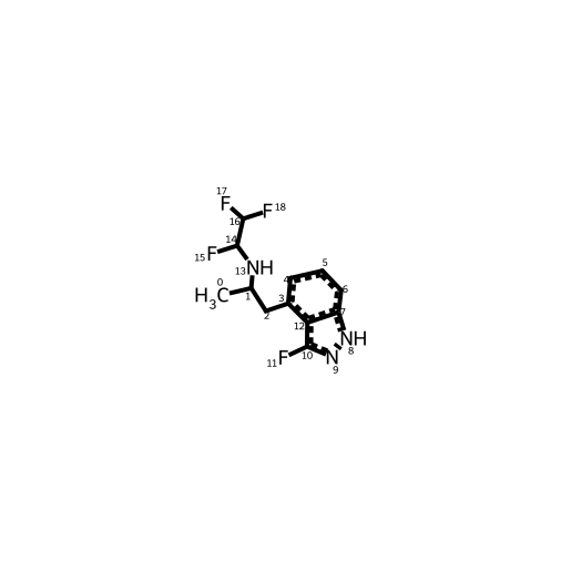 CC(Cc1cccc2[nH]nc(F)c12)NC(F)C(F)F